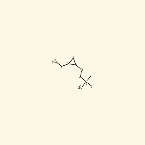 CC(C)(C)[Si](C)(C)COC1CC1CO